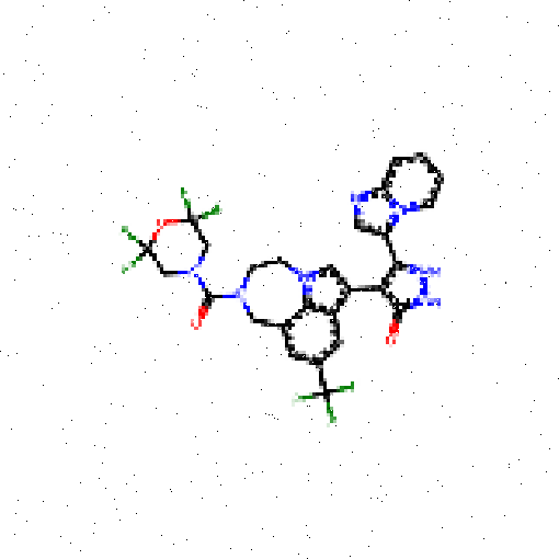 O=C(N1CCn2cc(-c3c(-c4cnc5ccccn45)[nH][nH]c3=O)c3cc(C(F)(F)F)cc(c32)C1)N1CC(F)(F)OC(F)(F)C1